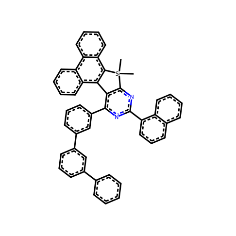 C[Si]1(C)c2nc(-c3cccc4ccccc34)nc(-c3cccc(-c4cccc(-c5ccccc5)c4)c3)c2-c2c1c1ccccc1c1ccccc21